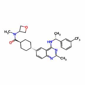 Cc1nc(N[C@H](C)c2cccc(C(F)(F)F)c2)c2cc([C@H]3CC[C@H](C(=O)N(C)C4COC4)CC3)ccc2n1